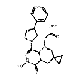 COC(=O)ON1CC2(CC2)CC(C(=O)NO)C1C(=O)N1CC=C(c2ccccc2)C1